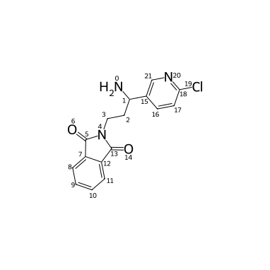 NC(CCN1C(=O)c2ccccc2C1=O)c1ccc(Cl)nc1